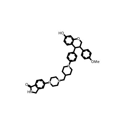 COc1ccc(C2COc3cc(O)ccc3C2c2ccc(N3CCC(CN4CCN(c5ccc6c(c5)CNC6=O)CC4)CC3)cc2)cc1